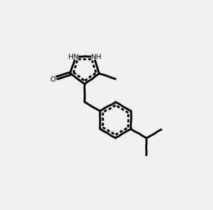 Cc1[nH][nH]c(=O)c1Cc1ccc(C(C)C)cc1